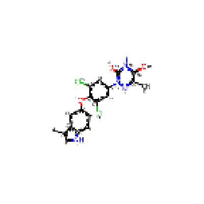 Cc1c[nH]c2ccc(Oc3c(Cl)cc(-n4nc(C#N)c(=O)[nH]c4=O)cc3Cl)cc12